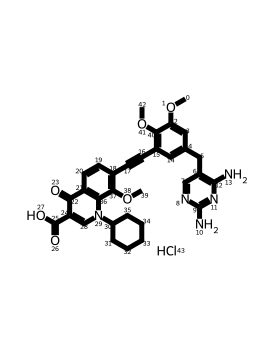 COc1cc(Cc2cnc(N)nc2N)cc(C#Cc2ccc3c(=O)c(C(=O)O)cn(C4CCCCC4)c3c2OC)c1OC.Cl